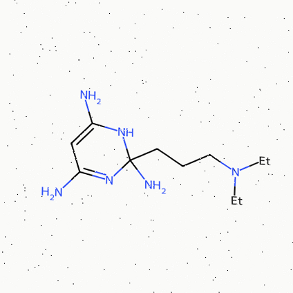 CCN(CC)CCCC1(N)N=C(N)C=C(N)N1